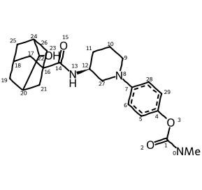 CNC(=O)Oc1ccc(N2CCC[C@H](NC(=O)C34CC5CC(C3)C(O)C(C5)C4)C2)cc1